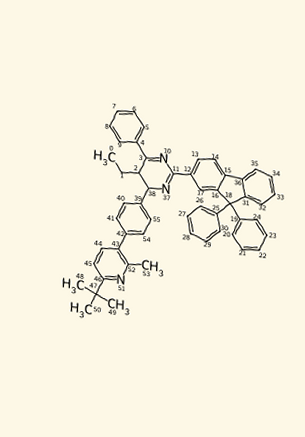 CCC1C(c2ccccc2)=NC(c2ccc3c(c2)C(c2ccccc2)(c2ccccc2)c2ccccc2-3)=NC1c1ccc(-c2ccc(C(C)(C)C)nc2C)cc1